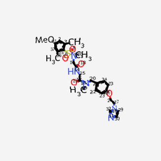 COc1cc(C)c(S(=O)(=O)N(C)CC(=O)NCC(=O)N(C)Cc2ccc(OCCn3ccnc3)cc2)c(C)c1